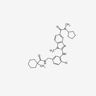 CN(C(=O)c1ccc2c(c1)nc(Nc1cc(CNC(=O)C3(C)CCCCC3)ccc1Cl)n2C)C1CCCC1